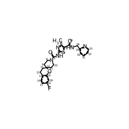 Cc1nc(NC(=O)N2CCC3(CCc4ccc(F)cc4O3)CC2)sc1C(=O)NCc1ccccn1